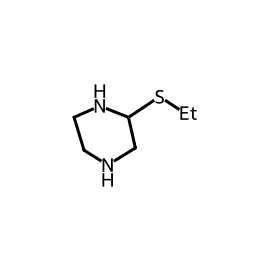 CCSC1CNCCN1